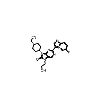 N#CC[C@H]1CC[C@H](n2c(=O)n(CCO)c3cnc(-c4cnc5ccc(F)cn45)nc32)CC1